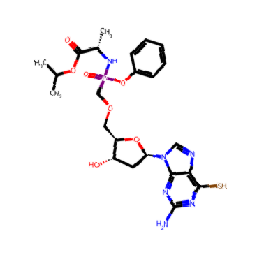 CC(C)OC(=O)[C@H](C)NP(=O)(COC[C@H]1O[C@@H](n2cnc3c(S)nc(N)nc32)C[C@@H]1O)Oc1ccccc1